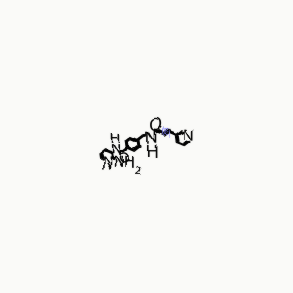 Nc1ncccc1NC(=O)c1ccc(CNC(=O)/C=C/c2cccnc2)cc1